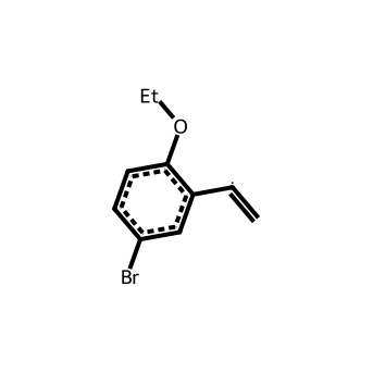 C=[C]c1cc(Br)ccc1OCC